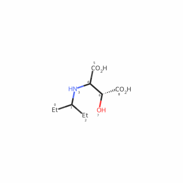 CCC(CC)NC(C(=O)O)[C@@H](O)C(=O)O